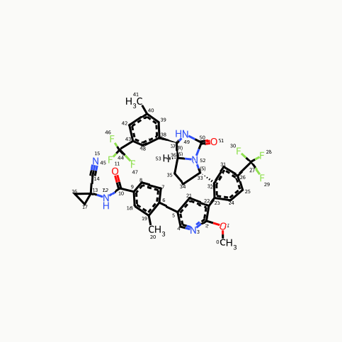 COc1ncc(-c2ccc(C(=O)NC3(C#N)CC3)cc2C)cc1-c1ccc(C(F)(F)F)cc1[C@@H]1CC[C@H]2[C@@H](c3cc(C)cc(C(F)(F)F)c3)NC(=O)N12